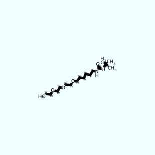 CC(C)(C)OC(=O)NCCCCCCOCCOCCOCCO